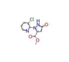 COC(=O)c1cc(=O)[nH]n1-c1ncccc1Cl